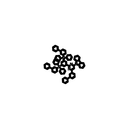 c1ccc(-c2cccc(-c3cc(-n4c5ccccc5c5ccccc54)nc(-c4cc([Si](c5ccccc5)(c5ccccc5)c5cccc(-c6ccccc6)c5)cc([Si](c5ccccc5)(c5ccccc5)c5cccc(-c6ccccc6)c5)c4)n3)c2)cc1